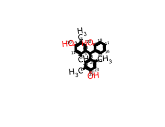 Cc1cc(C(c2cc(C)c(O)cc2C)c2ccccc2O)c(C)cc1O